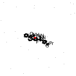 CC(C)C(=O)N1CCC(c2cc(-c3ccc(C4CCCn5c4c(C(N)=O)c(=O)n5-c4ccccc4)cc3F)c3c(N)ncnn23)CC1